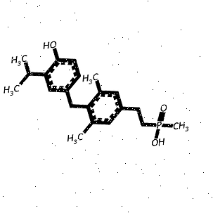 Cc1cc(CCP(C)(=O)O)cc(C)c1Cc1ccc(O)c(C(C)C)c1